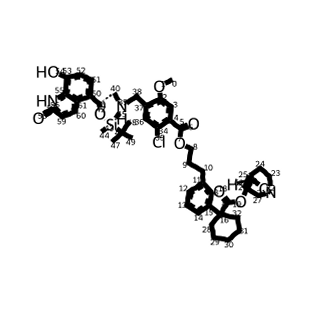 COc1cc(C(=O)OCCCc2cccc(C3(C(=O)O[C@H]4CN5CCC4CC5)CCCCC3)c2)c(Cl)cc1CNC[C@H](O[Si](C)(C)C(C)(C)C)c1ccc(O)c2[nH]c(=O)ccc12